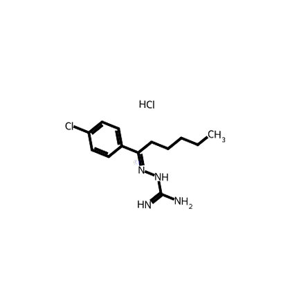 CCCCC/C(=N\NC(=N)N)c1ccc(Cl)cc1.Cl